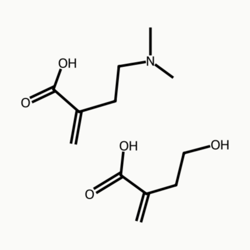 C=C(CCN(C)C)C(=O)O.C=C(CCO)C(=O)O